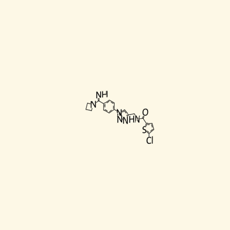 N=C(c1ccc(-n2cc(CNC(=O)c3ccc(Cl)s3)nn2)cc1)N1CCC1